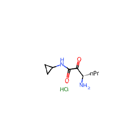 CCC[C@H](N)C(=O)C(=O)NC1CC1.Cl